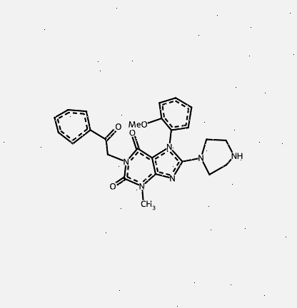 COc1ccccc1-n1c(N2CCNCC2)nc2c1c(=O)n(CC(=O)c1ccccc1)c(=O)n2C